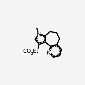 CCOC(=O)c1cn(C)c2c1-c1ncccc1CCC2